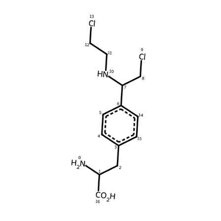 NC(Cc1ccc(C(CCl)NCCCl)cc1)C(=O)O